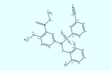 COC(=O)c1cc(N(Cc2c(Cl)cccc2Cl)S(=O)(=O)c2cccc(C#N)c2)ccc1OC